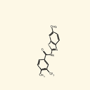 Cc1ccc(C(=O)Nc2nc3ccc(C=O)cc3s2)cc1C(F)(F)F